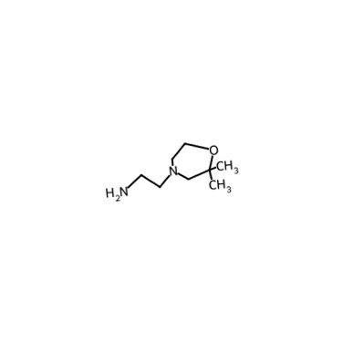 CC1(C)CN(CCN)CCO1